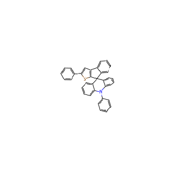 c1ccc(-c2cc3c(s2)C2(c4ccccc4-3)c3ccccc3N(c3ccccc3)c3ccccc32)cc1